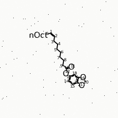 CCCCCCCC/C=C\CCCCCCCC(=O)Oc1ccc2c(c1)OCO2